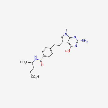 Cn1cc(CCc2ccc(C(=O)N[C@@H](CCC(=O)O)C(=O)O)cc2)c2c(O)nc(N)nc21